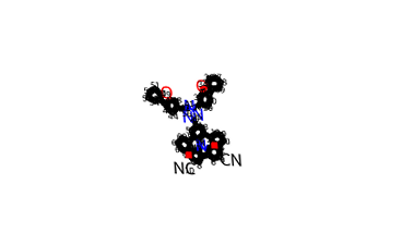 N#Cc1ccc2c(c1)c1cc(C#N)ccc1n2-c1c(-c2ccccc2)cc(-c2nc(-c3ccc4c(c3)oc3ccccc34)nc(-c3ccc4c(c3)oc3ccccc34)n2)cc1-c1ccccc1